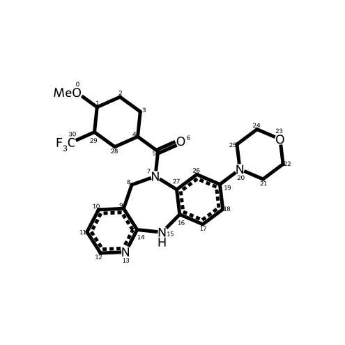 COC1CCC(C(=O)N2Cc3cccnc3Nc3ccc(N4CCOCC4)cc32)CC1C(F)(F)F